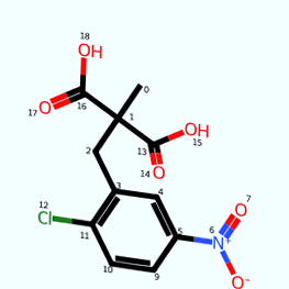 CC(Cc1cc([N+](=O)[O-])ccc1Cl)(C(=O)O)C(=O)O